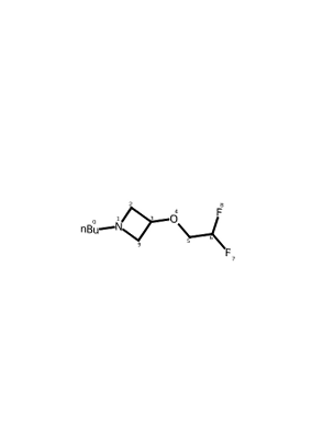 CCCCN1CC(OCC(F)F)C1